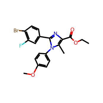 CCOC(=O)c1nc(-c2ccc(Br)c(F)c2)n(-c2ccc(OC)cc2)c1C